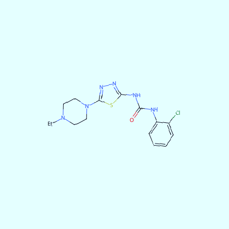 CCN1CCN(c2nnc(NC(=O)Nc3ccccc3Cl)s2)CC1